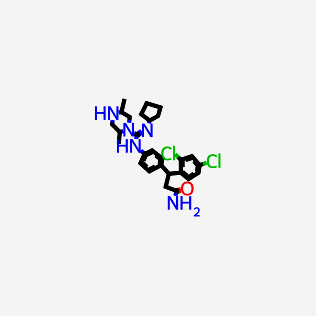 CC1CN(/C(=N\C2CCCC2)Nc2ccc(C(CC(N)=O)c3ccc(Cl)cc3Cl)cc2)C(C)CN1